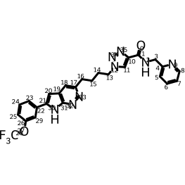 O=C(NCc1ccccn1)c1cn(CCCCc2cc3cc(-c4cccc(OC(F)(F)F)c4)[nH]c3nn2)nn1